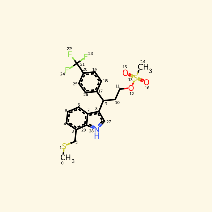 CSCc1cccc2c(C(CCOS(C)(=O)=O)c3ccc(C(F)(F)F)cc3)c[nH]c12